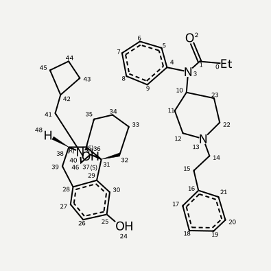 CCC(=O)N(c1ccccc1)C1CCN(CCc2ccccc2)CC1.Oc1ccc2c(c1)[C@@]13CCCC[C@@]1(O)[C@@H](C2)N(CC1CCC1)CC3